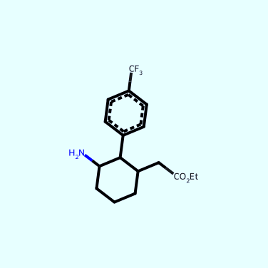 CCOC(=O)CC1CCCC(N)C1c1ccc(C(F)(F)F)cc1